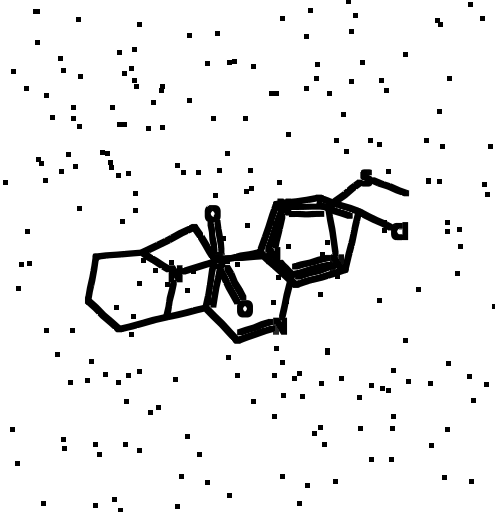 CSc1nc2ncc3c(n2n1)CC1CCCC3N1S(=O)(=O)c1ccc(Cl)cc1